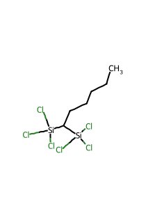 CCCCCC([Si](Cl)(Cl)Cl)[Si](Cl)(Cl)Cl